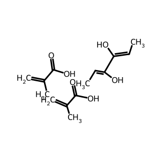 C=C(C)C(=O)O.C=C(C)C(=O)O.CC=C(O)C(O)=CC